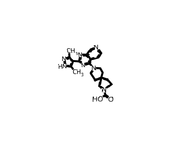 Cc1n[nH]c(C)c1-c1nc(N2CCC3(CCN(C(=O)O)C3)CC2)c2ccncc2n1